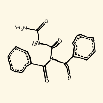 NC(=O)NC(=O)N(C(=O)c1ccccc1)C(=O)c1ccccc1